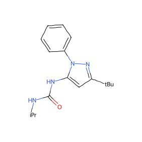 CC(C)NC(=O)Nc1cc(C(C)(C)C)nn1-c1ccccc1